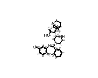 O=C(O)C([C@@H]1CN2CCC1CC2)[C@H]1CN(C2=Nc3cc(Cl)ccc3Oc3ccccc32)CCN1